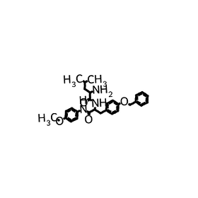 COc1ccc(NC(=O)C(Cc2ccc(OCc3ccccc3)cc2)NC(=O)C(N)CC(C)C)cc1